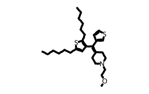 CCCCCCc1cc(C(=C2CCN(CCOC)CC2)c2ccsc2)c(CCCCCC)s1